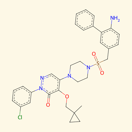 CC1(COc2c(N3CCN(S(=O)(=O)Cc4ccc(N)c(-c5ccccc5)c4)CC3)cnn(-c3cccc(Cl)c3)c2=O)CC1